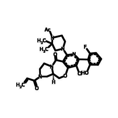 C=CC(=O)N1CCN2C(=O)c3c(N4CCN(C(C)=O)C(C)(C)C4)nc(-c4c(O)cccc4F)c(Cl)c3OC[C@H]2C1